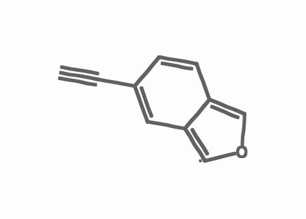 C#Cc1ccc2co[c]c2c1